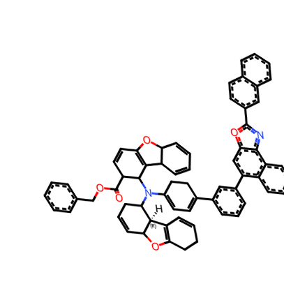 O=C(OCc1ccccc1)C1C=CC2=C(C3C=CC=CC3O2)C1N(C1=CC=C(c2cccc(-c3cc4oc(-c5ccc6ccccc6c5)nc4c4ccccc34)c2)CC1)C1CC=CC2OC3=C(C=CCC3)[C@@H]21